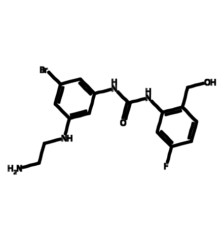 NCCNc1cc(Br)cc(NC(=O)Nc2cc(F)ccc2CO)c1